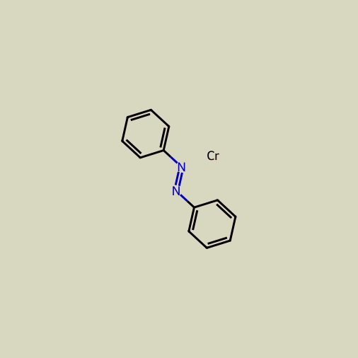 [Cr].c1ccc(N=Nc2ccccc2)cc1